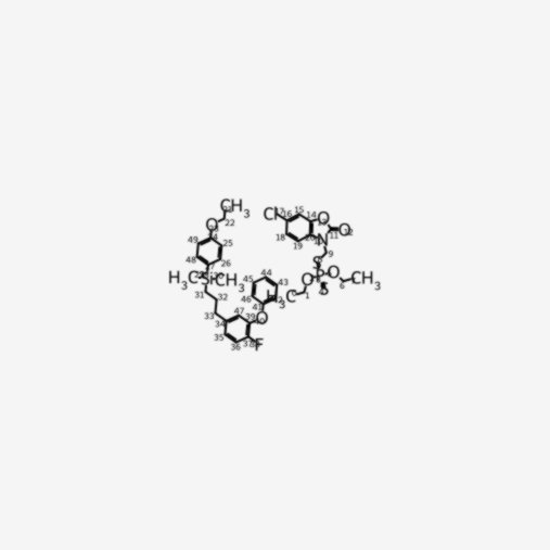 CCOP(=S)(OCC)SCn1c(=O)oc2cc(Cl)ccc21.CCOc1ccc([Si](C)(C)CCCc2ccc(F)c(Oc3ccccc3)c2)cc1